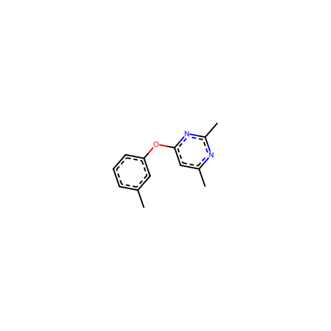 Cc1cccc(Oc2cc(C)nc(C)n2)c1